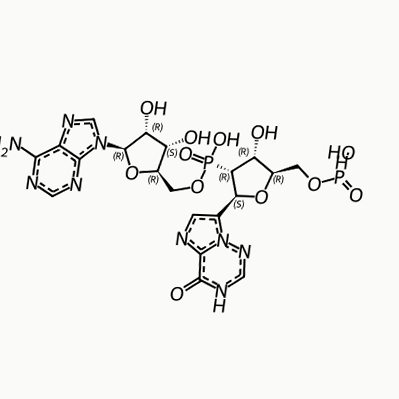 Nc1ncnc2c1ncn2[C@@H]1O[C@H](COP(=O)(O)[C@@H]2[C@H](O)[C@@H](CO[PH](=O)O)O[C@H]2c2cnc3c(=O)[nH]cnn23)[C@@H](O)[C@H]1O